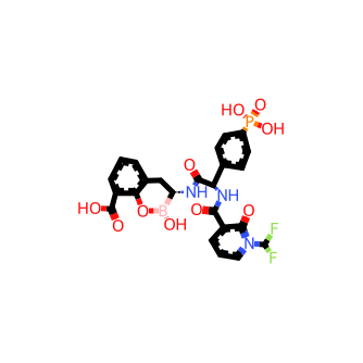 O=C(O)c1cccc2c1OB(O)[C@@H](NC(=O)[C@H](NC(=O)c1cccn(C(F)F)c1=O)c1ccc(P(=O)(O)O)cc1)C2